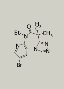 CCN1C(=O)C(C)(C)c2nncn2-c2cc(Br)cnc21